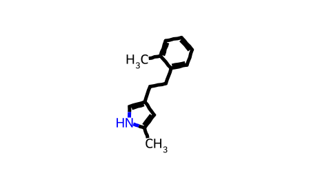 Cc1cc(CCc2ccccc2C)c[nH]1